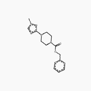 Cn1cnc(N2CCN(C(=O)OCc3ccccc3)CC2)n1